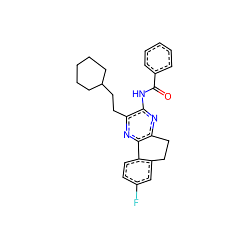 O=C(Nc1nc2c(nc1CCC1CCCCC1)-c1ccc(F)cc1CC2)c1ccccc1